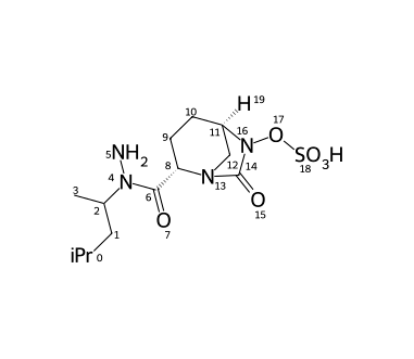 CC(C)CC(C)N(N)C(=O)[C@@H]1CC[C@@H]2CN1C(=O)N2OS(=O)(=O)O